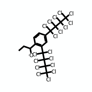 CCC([O])c1ccc(C(Cl)(Cl)C(Cl)(Cl)C(Cl)(Cl)C(Cl)(Cl)Cl)cc1C(Cl)(Cl)C(Cl)(Cl)C(Cl)(Cl)C(Cl)(Cl)Cl